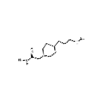 CCNC(=O)CN1CCC(CCCOCC)CC1